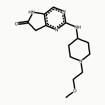 COCCN1CCC(Nc2ncc3c(n2)CC(=O)N3)CC1